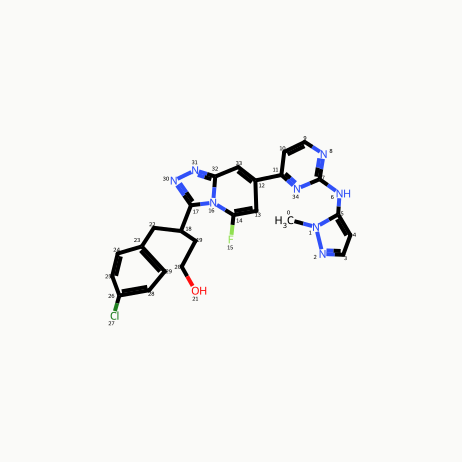 Cn1nccc1Nc1nccc(-c2cc(F)n3c(C(CCO)Cc4ccc(Cl)cc4)nnc3c2)n1